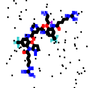 N=C(N)NCCCCC(=O)Nc1cc(C(F)(F)F)cc(NC(=O)c2cc(C(=O)Nc3cc(C(F)(F)F)cc(NC(=O)CCCCNC(=N)N)c3O[C@@H](I)CCN)ncn2)c1O[C@@H]1CCNC1